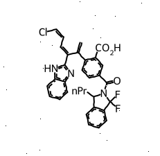 C=C(/C(=C\C=C/Cl)c1nc2ccccc2[nH]1)c1ccc(C(=O)N2C(CCC)c3ccccc3C2(F)F)cc1C(=O)O